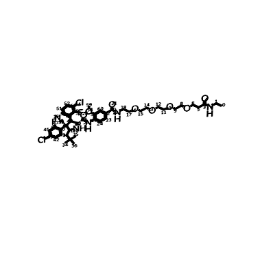 CCNC(=O)CCOCCOCCOCCOCCNC(=O)c1ccc(NC(=O)[C@@H]2NC(CC(C)(C)C)[C@](C#N)(c3ccc(Cl)cc3F)C2c2cccc(Cl)c2F)c(OC)c1